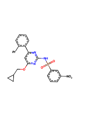 CC(C)c1ccccc1-c1cc(OCC2CC2)nc(NS(=O)(=O)c2cccc([N+](=O)[O-])c2)n1